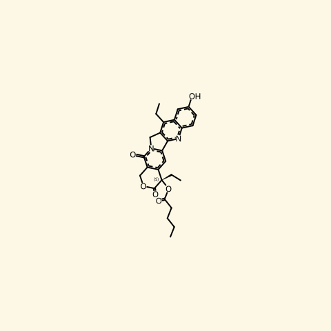 CCCCC(=O)O[C@]1(CC)C(=O)OCc2c1cc1n(c2=O)Cc2c-1nc1ccc(O)cc1c2CC